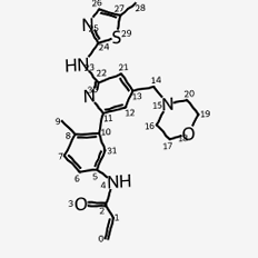 C=CC(=O)Nc1ccc(C)c(-c2cc(CN3CCOCC3)cc(Nc3ncc(C)s3)n2)c1